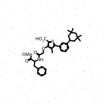 COC(=O)C(Cc1ccccc1)NC(=O)COc1c(C(=O)O)sc(-c2cccc(C3CC(C)(C)CC(C)(C)C3)c2)c1C